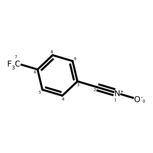 [O-][N+]#Cc1ccc(C(F)(F)F)cc1